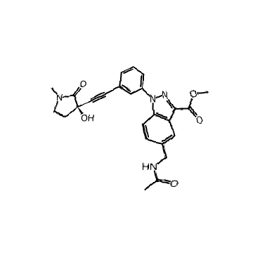 COC(=O)c1nn(-c2cccc(C#C[C@]3(O)CCN(C)C3=O)c2)c2ccc(CNC(C)=O)cc12